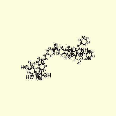 CC(C)C[C@H](NC(O)[C@H](Cc1ccccc1)NC(=O)c1cnccn1)B1OC(C)(C)C(C)(c2ccc(C(=O)N3CCC(CCn4ccc5cc(-n6c(O)nnc6-c6cc(C(C)C)c(O)cc6O)ccc54)CC3)cc2)O1